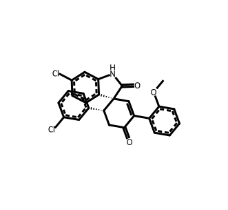 COc1ccccc1C1=C[C@]2(C(=O)Nc3cc(Cl)ccc32)[C@@H](c2cccc(Cl)c2)CC1=O